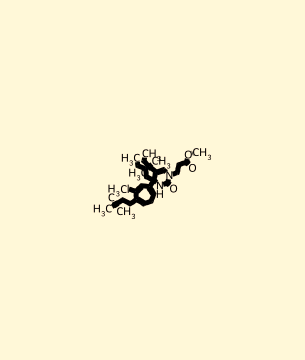 CCCCC1(C2=CCC=C(CCC(C)(C)C)C(Cl)=C2)NC(=O)N(CCC(=O)OC)C=C1C(C)(C)CC